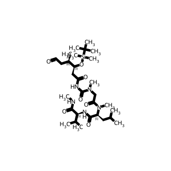 CNC(=O)[C@@H](NC(=O)[C@H](CC(C)C)N(C)C(=O)CN(C)C(=O)NC(=O)C[C@H](O[Si](C)(C)C(C)(C)C)[C@H](C)CC=O)C(C)C